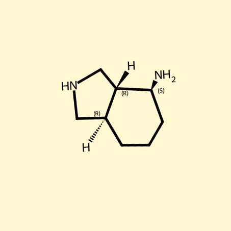 N[C@H]1CCC[C@H]2CNC[C@@H]21